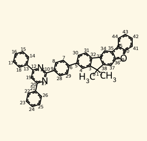 CC1(C)c2cc(-c3ccc(-c4nc(-c5ccccc5)cc(-c5ccccc5)n4)cc3)ccc2-c2cc3c(cc21)oc1ccccc13